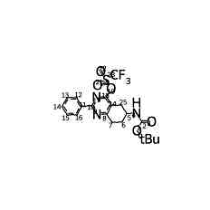 CC(C)(C)OC(=O)NC1CCc2nc(-c3ccccc3)nc(OS(=O)(=O)C(F)(F)F)c2C1